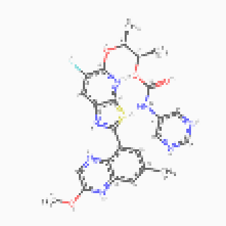 COc1cnc2c(-c3nc4cc(F)c(O[C@@H](C)[C@@H](C)OC(=O)Nc5cncnc5)nc4s3)cc(C)cc2n1